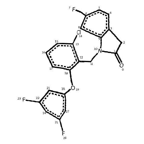 O=C1Cc2ccc(F)cc2N1Cc1c(Cl)cccc1Oc1cc(F)cc(F)c1